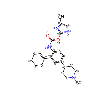 CC(=O)N1CCC(c2ccc(NC(=O)Oc3nc(C#N)c[nH]3)c(C3=CCCCC3)c2)CC1